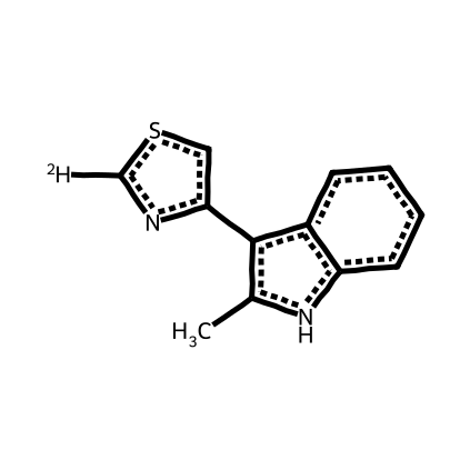 [2H]c1nc(-c2c(C)[nH]c3ccccc23)cs1